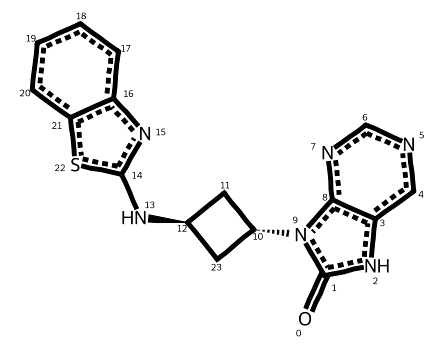 O=c1[nH]c2cncnc2n1[C@H]1C[C@H](Nc2nc3ccccc3s2)C1